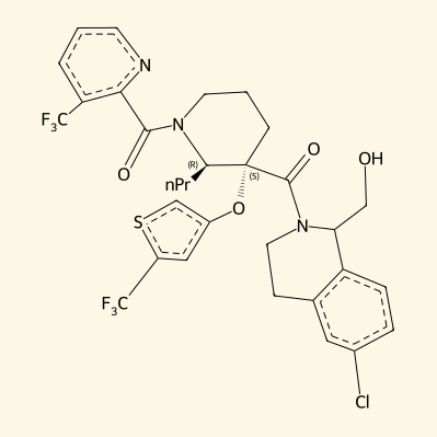 CCC[C@H]1N(C(=O)c2ncccc2C(F)(F)F)CCC[C@@]1(Oc1csc(C(F)(F)F)c1)C(=O)N1CCc2cc(Cl)ccc2C1CO